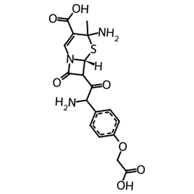 CC1(N)S[C@@H]2C(C(=O)C(N)c3ccc(OCC(=O)O)cc3)C(=O)N2C=C1C(=O)O